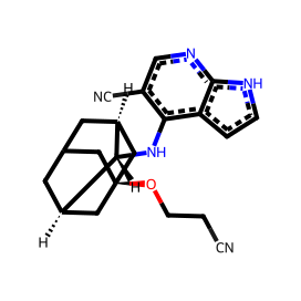 N#CCCO[C@]12CC3C[C@H](C1)[C@@H](Nc1c(C#N)cnc4[nH]ccc14)[C@@H](C3)C2